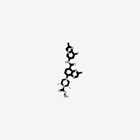 Cc1cnc2c(N3C[C@@H](C)N(C(=O)OC(C)(C)C)[C@@H](C)C3)ccc(C(=O)Nc3cc(F)c4nc(C)cn4c3)c2n1